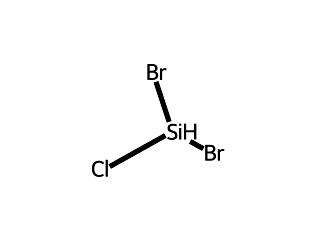 Cl[SiH](Br)Br